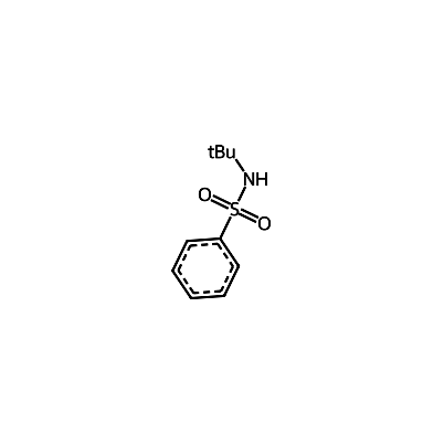 CC(C)(C)NS(=O)(=O)c1ccccc1